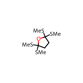 CSC1(SC)CCC(SC)(SC)O1